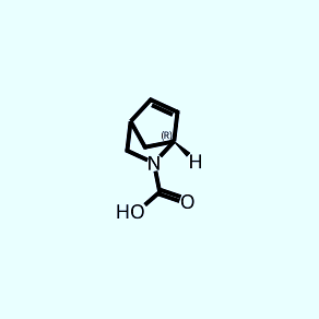 O=C(O)N1CC2C=C[C@H]1C2